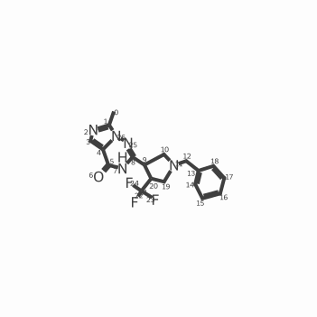 Cc1ncc2c(=O)[nH]c(C3CN(Cc4ccccc4)CC3C(F)(F)F)nn12